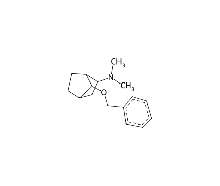 CN(C)C1CC2CCC1C2OCc1ccccc1